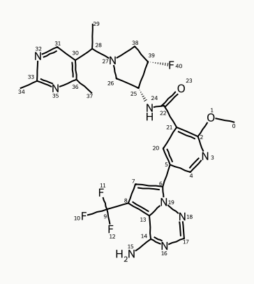 COc1ncc(-c2cc(C(F)(F)F)c3c(N)ncnn23)cc1C(=O)N[C@@H]1CN(C(C)c2cnc(C)nc2C)C[C@@H]1F